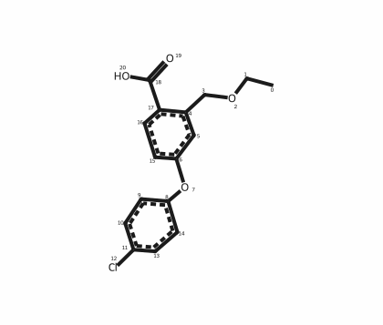 CCOCc1cc(Oc2ccc(Cl)cc2)ccc1C(=O)O